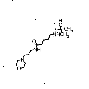 CC(C)(C)SNCCCCC(=O)NCCCN1CCOCC1